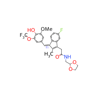 COc1cc(/C=C2/C(C)=C(CC(=O)NCC3OCCO3)c3cc(F)ccc32)cc(OC(F)(F)F)c1O